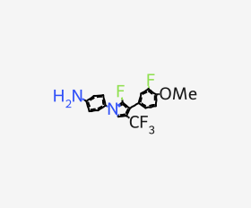 COc1ccc(-c2c(C(F)(F)F)cn(-c3ccc(N)cc3)c2F)cc1F